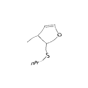 CCCSC1OC=CC1C